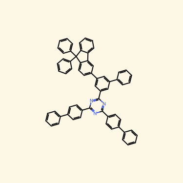 c1ccc(-c2ccc(-c3nc(-c4ccc(-c5ccccc5)cc4)nc(-c4cc(-c5ccccc5)cc(-c5ccc6c(c5)-c5ccccc5C6(c5ccccc5)c5ccccc5)c4)n3)cc2)cc1